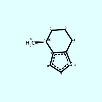 C[C@H]1CCCc2sccc21